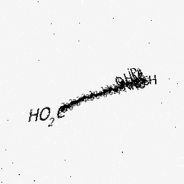 CC(C)C[C@H](NC(=O)CCCNC(=O)CCCCCCCCCCCCCCCCCCC(=O)O)C(O)S